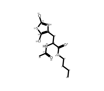 CCCCOC(=O)C(Cc1nc(Cl)sc1Cl)NC(C)=O